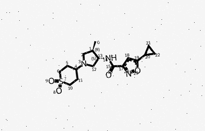 C[C@@H]1CN(C2CCS(=O)(=O)CC2)C[C@H]1NC(=O)c1cc(C2CC2)on1